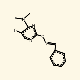 CN(C)c1nc(ON=Cc2ccccc2)ncc1F